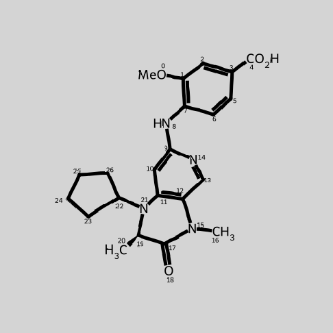 COc1cc(C(=O)O)ccc1Nc1cc2c(cn1)N(C)C(=O)[C@@H](C)N2C1CCCC1